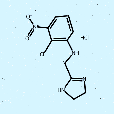 Cl.O=[N+]([O-])c1cccc(NCC2=NCCN2)c1Cl